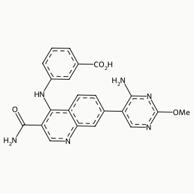 COc1ncc(-c2ccc3c(Nc4cccc(C(=O)O)c4)c(C(N)=O)cnc3c2)c(N)n1